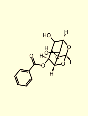 O=C(O[C@H]1C2O[C@@H]3O[C@H](C2O)C(O)[C@@H]1O3)c1ccccc1